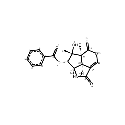 C[C@]1(O)[C@@H](OC(=O)c2ccccc2)[C@H]2NC(=O)C3=COC(=O)[C@H]1[C@@H]32